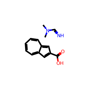 CN(C)C=N.O=C(O)c1cc2cccccc-2c1